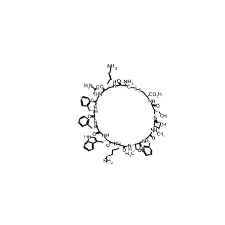 C[C@@H](O)[C@@H]1NC(=O)[C@H](Cc2ccccc2)NC(=O)[C@H]([C@@H](C)O)NC(=O)[C@H](CCCCN)NC(=O)[C@H](Cc2c[nH]c3ccccc23)NC(=O)[C@H](Cc2ccccc2)NC(=O)[C@H](Cc2ccccc2)NC(=O)[C@H](CC(N)=O)NC(=O)[C@H](CCCCN)NC(=O)[C@@H](N)CSSC[C@@H](C(=O)O)NC(=O)[C@H](CO)NC1=O